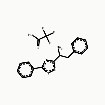 NC(Cc1ccccc1)c1nnc(-c2ccccc2)o1.O=C(O)C(F)(F)F